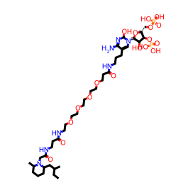 CCC(C)CC1CCCC(C)N1CC(=O)NCCC(=O)NCCOCCOCCOCCOCCC(=O)NCCCC1=CN([C@@H]2O[C@H](COP(=O)(O)O)C(OP(=O)(O)O)C2O)C(O)N=C1N